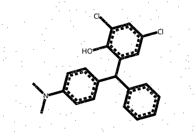 CN(C)c1ccc(C(c2ccccc2)c2cc(Cl)cc(Cl)c2O)cc1